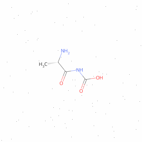 C[C@H](N)C(=O)NC(=O)O